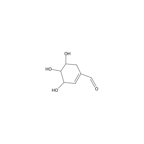 O=CC1=CC(O)C(O)C(O)C1